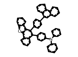 c1ccc(N(c2ccccc2)c2ccc(-c3c(-c4ccc(-c5cc6ccccc6c6ccccc56)cc4)c4c5ccccc5oc4c4ccccc34)cc2)cc1